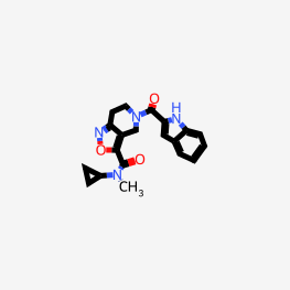 CN(C(=O)c1onc2c1CN(C(=O)c1cc3ccccc3[nH]1)CC2)C1CC1